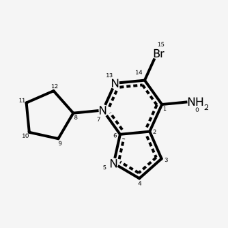 Nc1c2ccnc-2n(C2CCCC2)nc1Br